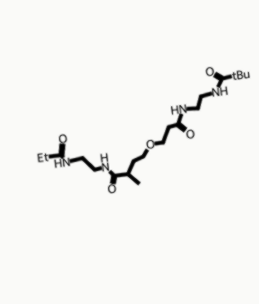 CCC(=O)NCCNC(=O)C(C)CCOCCC(=O)NCCNC(=O)C(C)(C)C